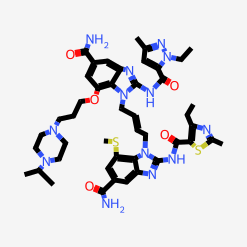 CCc1nc(C)sc1C(=O)Nc1nc2cc(C(N)=O)cc(SC)c2n1C/C=C/Cn1c(NC(=O)c2cc(C)nn2CC)nc2cc(C(N)=O)cc(OCCCN3CCN(C(C)C)CC3)c21